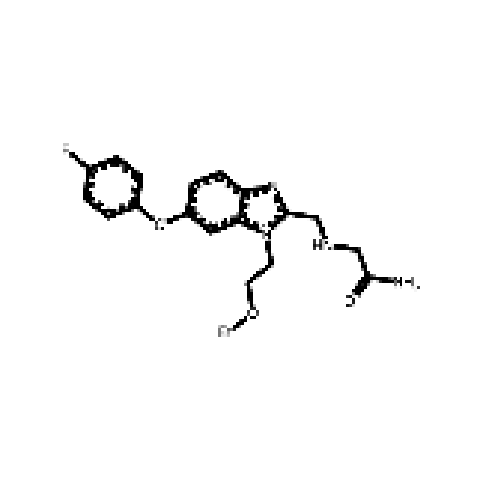 CCOCCn1c(CNCC(N)=O)nc2ccc(Oc3ccc(F)cc3)cc21